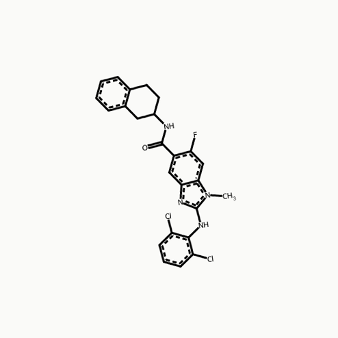 Cn1c(Nc2c(Cl)cccc2Cl)nc2cc(C(=O)NC3CCc4ccccc4C3)c(F)cc21